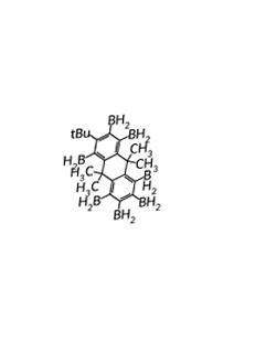 Bc1c(B)c(B)c2c(c1B)C(C)(C)c1c(B)c(B)c(C(C)(C)C)c(B)c1C2(C)C